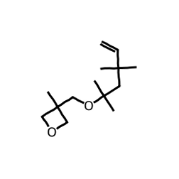 C=CC(C)(C)CC(C)(C)OCC1(C)COC1